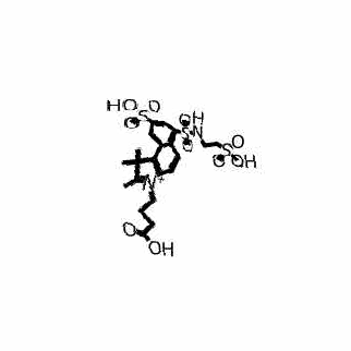 CC1=[N+](CCCC(=O)O)c2ccc3c(S(=O)(=O)NCCS(=O)(=O)O)cc(S(=O)(=O)O)cc3c2C1(C)C